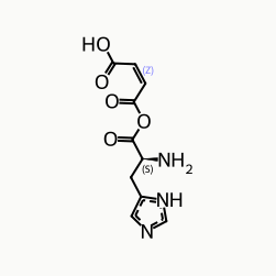 N[C@@H](Cc1cnc[nH]1)C(=O)OC(=O)/C=C\C(=O)O